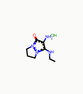 CCNc1c(N)c(=O)n2n1CCC2.Cl